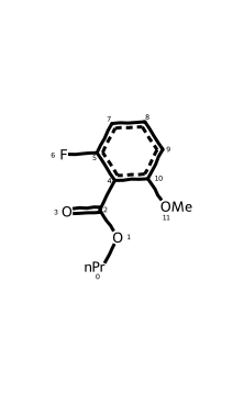 CCCOC(=O)c1c(F)cccc1OC